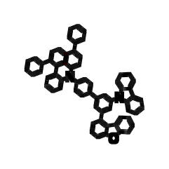 c1ccc(-c2ccc(N(c3ccc(-c4cc(-c5cccc6oc7ccccc7c56)cc(-n5c6ccccc6c6ccccc65)c4)cc3)c3ccccc3-c3ccccc3-c3ccccc3)cc2)cc1